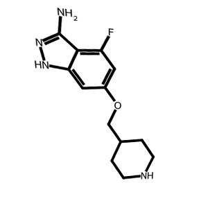 Nc1n[nH]c2cc(OCC3CCNCC3)cc(F)c12